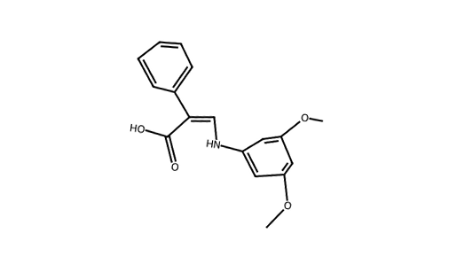 COc1cc(N/C=C(\C(=O)O)c2ccccc2)cc(OC)c1